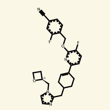 N#Cc1ccc(COc2nc(C3=CCC(Cc4nccn4C[C@@H]4CCO4)CC3)ccc2F)c(F)c1